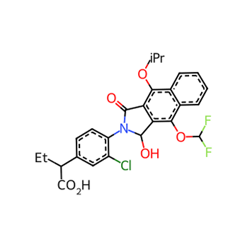 CCC(C(=O)O)c1ccc(N2C(=O)c3c(c(OC(F)F)c4ccccc4c3OC(C)C)C2O)c(Cl)c1